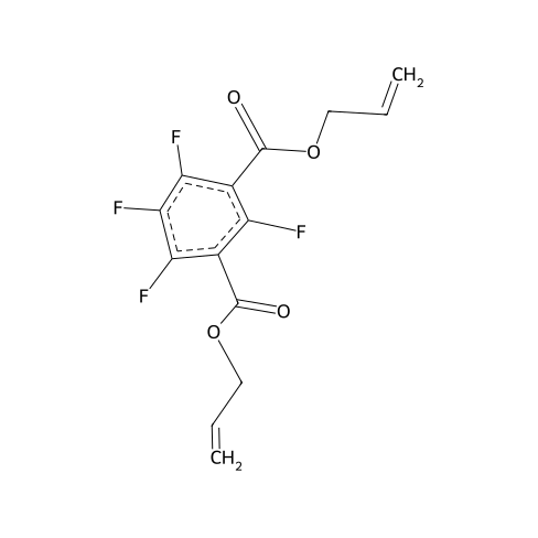 C=CCOC(=O)c1c(F)c(F)c(F)c(C(=O)OCC=C)c1F